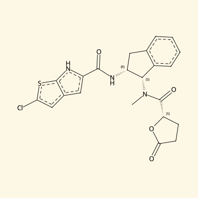 CN(C(=O)[C@@H]1CCC(=O)O1)[C@H]1c2ccccc2C[C@H]1NC(=O)c1cc2cc(Cl)sc2[nH]1